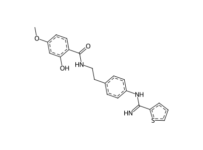 COc1ccc(C(=O)NCCc2ccc(NC(=N)c3cccs3)cc2)c(O)c1